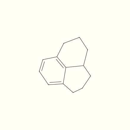 c1cc2c3c(c1)CCCC3CCC2